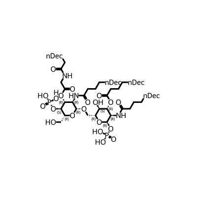 CCCCCCCCCCCCCC(=O)N[C@H]1[C@H](OC[C@H]2O[C@H](OP(=O)(O)O)[C@H](NC(=O)CCCCCCCCCCCCC)[C@@H](OC(=O)CCCCCCCCCCCCC)[C@@H]2O)O[C@H](CO)[C@@H](OP(=O)(O)O)[C@@H]1OC(=O)CNC(=O)CCCCCCCCCCC